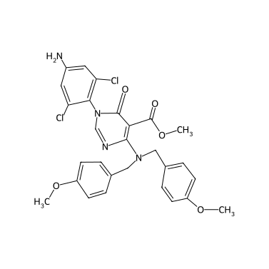 COC(=O)c1c(N(Cc2ccc(OC)cc2)Cc2ccc(OC)cc2)ncn(-c2c(Cl)cc(N)cc2Cl)c1=O